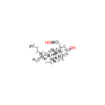 CC(C)CCC[C@@H](C)[C@H]1CC[C@H]2[C@@H]3CC=C4C[C@@H](O)CC[C@]4(C)[C@H]3CC[C@]12C.O=[N+]([O-])O